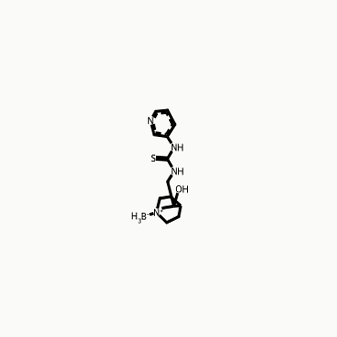 [BH3-][N+]12CCC(CC1)C(O)(CNC(=S)Nc1cccnc1)C2